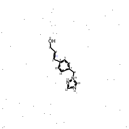 OC/C=C/c1ccc(Cn2cncn2)cc1